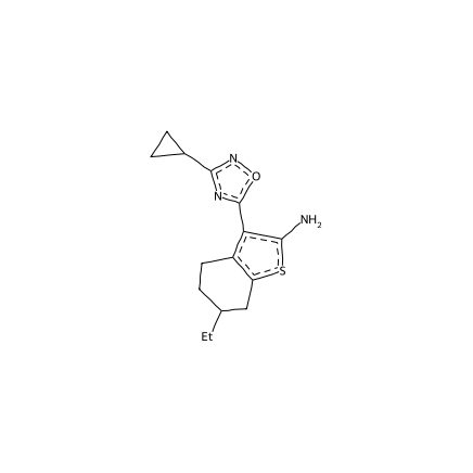 CCC1CCc2c(sc(N)c2-c2nc(C3CC3)no2)C1